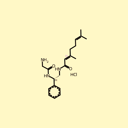 CC(C)=CCC/C(C)=C/C(=O)NC[C@@H](NC(=O)CN)c1ccccc1.Cl